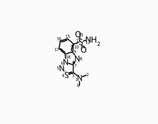 CN(C)C1=S=Nn2c1nc1c(S(N)(=O)=O)cccc12